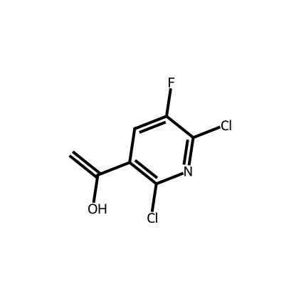 C=C(O)c1cc(F)c(Cl)nc1Cl